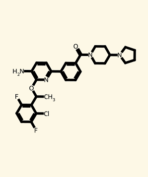 CC(Oc1nc(-c2cccc(C(=O)N3CCC(N4CCCC4)CC3)c2)ccc1N)c1c(F)ccc(F)c1Cl